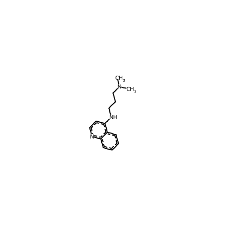 CN(C)CCCNc1ccnc2ccccc12